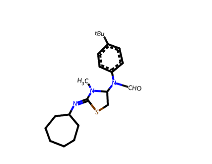 CN1C(=NC2CCCCCC2)SCC1N(C=O)c1ccc(C(C)(C)C)cc1